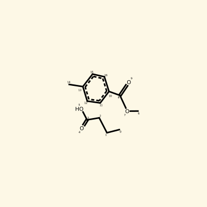 CCCC(=O)O.COC(=O)c1ccc(C)cc1